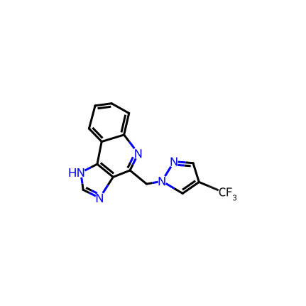 FC(F)(F)c1cnn(Cc2nc3ccccc3c3[nH]cnc23)c1